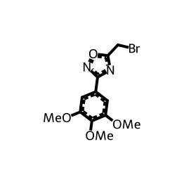 COc1cc(-c2noc(CBr)n2)cc(OC)c1OC